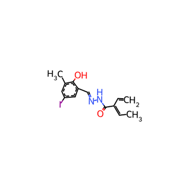 C=C/C(=C\C)C(=O)N/N=C/c1cc(I)cc(C)c1O